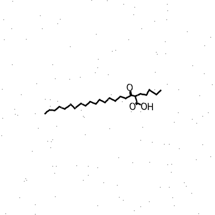 CCCCCCCCCCCCCCCCCC(=O)C(CCCCC)C(=O)O